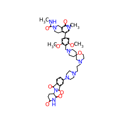 CNC(=O)N1CCc2c(-c3cc(OC)c(CN4CCC5(CC4)CN(CCCN4CCN(c6ccc7c(c6)C(=O)N(C6CCC(=O)NC6=O)C7=O)CC4)CCO5)c(OC)c3)cn(C)c(=O)c2C1